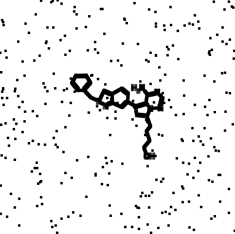 Nc1ncnn2c(CCCCO)cc(-c3ccc4cn(Cc5ccccc5)nc4c3)c12